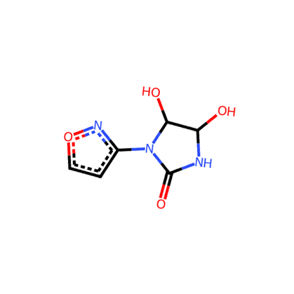 O=C1NC(O)C(O)N1c1ccon1